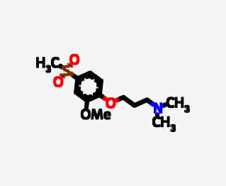 COc1cc(S(C)(=O)=O)ccc1OCCCN(C)C